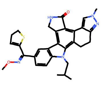 CO/N=C(\C1=CCCS1)c1ccc2c(c1)c1c3c(c4c(c1n2CC(C)C)CCc1nn(C)cc1-4)C(=O)NC3